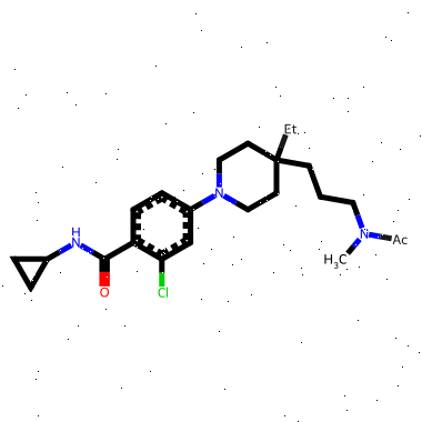 CCC1(CCCN(C)C(C)=O)CCN(c2ccc(C(=O)NC3CC3)c(Cl)c2)CC1